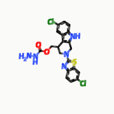 NNC(=O)OCC1CN(c2nc3ccc(Cl)cc3s2)Cc2[nH]c3ccc(Cl)cc3c21